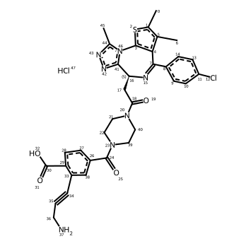 Cc1sc2c(c1C)C(c1ccc(Cl)cc1)=N[C@@H](CC(=O)N1CCN(C(=O)c3ccc(C(=O)O)c(C#CCN)c3)CC1)c1nnc(C)n1-2.Cl